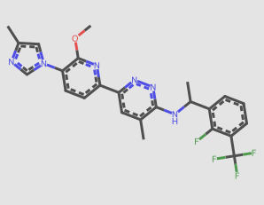 COc1nc(-c2cc(C)c(NC(C)c3cccc(C(F)(F)F)c3F)nn2)ccc1-n1cnc(C)c1